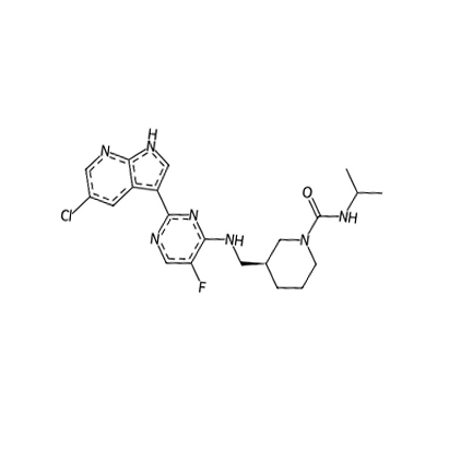 CC(C)NC(=O)N1CCC[C@@H](CNc2nc(-c3c[nH]c4ncc(Cl)cc34)ncc2F)C1